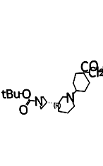 CC(C)(C)OC(=O)N1CC([C@H]2CCCN(C3CCC(C)(C(=O)O)CC3)C2)C1